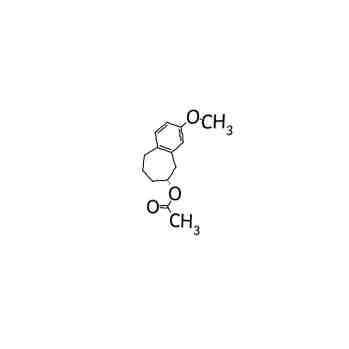 COc1ccc2c(c1)C[C@H](OC(C)=O)CCC2